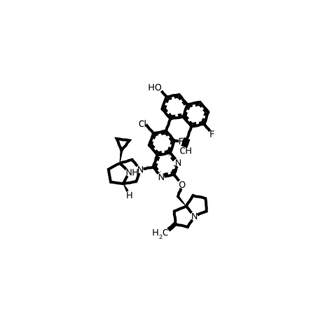 C#Cc1c(F)ccc2cc(O)cc(-c3c(Cl)cc4c(N5C[C@@H]6CC[C@](C7CC7)(C5)N6)nc(OC[C@@]56CCCN5CC(=C)C6)nc4c3F)c12